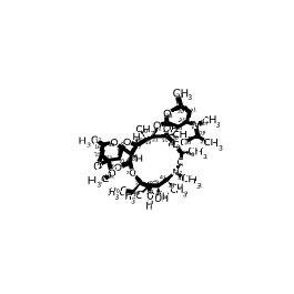 CC[C@H]1OC(=O)[C@H]2[C@@H](OC23CC2(OC)OC2C(C)O3)[C@H](C)[C@@H](OC2CC(N(C)C(C)C)CC(C)O2)[C@@](C)(O)C[C@@H](C)CN(C)[C@H](C)[C@@H](O)[C@]1(C)O